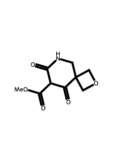 COC(=O)C1C(=O)NCC2(COC2)C1=O